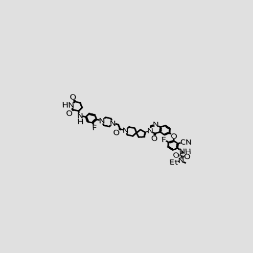 CCN(C)S(=O)(=O)Nc1ccc(F)c(Oc2ccc3ncn([C@H]4CCC5(CCN(C(=O)CN6CCN(c7ccc(NC8CCC(=O)NC8=O)cc7F)CC6)CC5)C4)c(=O)c3c2)c1C#N